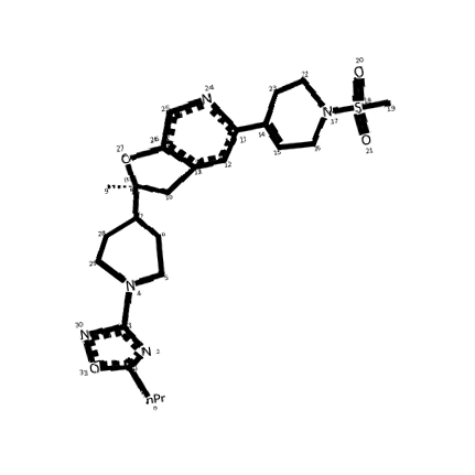 CCCc1nc(N2CCC([C@]3(C)Cc4cc(C5=CCN(S(C)(=O)=O)CC5)ncc4O3)CC2)no1